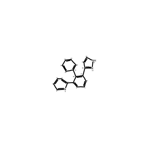 [c]1ccc(-c2ccccn2)c(-c2ccccc2)c1-c1cc[nH]n1